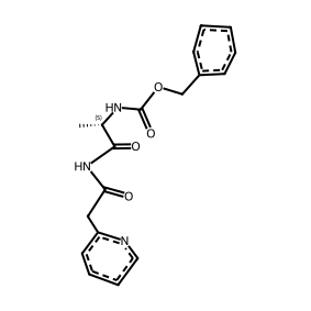 C[C@H](NC(=O)OCc1ccccc1)C(=O)NC(=O)Cc1ccccn1